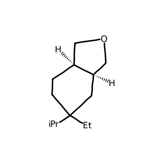 CCC1(C(C)C)CC[C@H]2COC[C@H]2C1